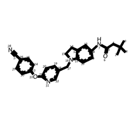 CC(C)(C)CC(=O)Nc1ccc2c(c1)CCN2Cc1ccc(Oc2ccc(C#N)cc2)nc1